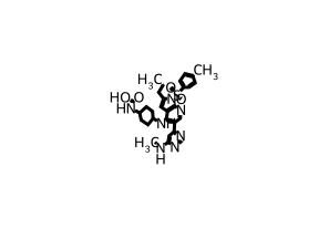 CCCc1cc2c(NC3CCC(NC(=O)O)CC3)c(-c3cc(NC)ncn3)cnc2n1S(=O)(=O)c1ccc(C)cc1